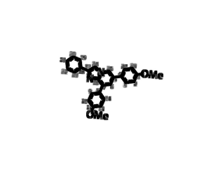 COc1ccc(-c2cc(-c3ccc(OC)cc3)c3nc(-c4ccccc4)cn3c2)cc1